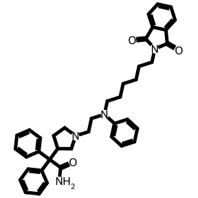 NC(=O)C(c1ccccc1)(c1ccccc1)C1CCN(CCN(CCCCCCN2C(=O)c3ccccc3C2=O)c2ccccc2)C1